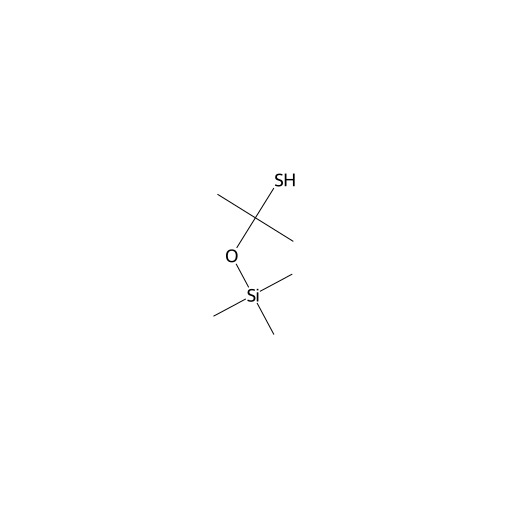 CC(C)(S)O[Si](C)(C)C